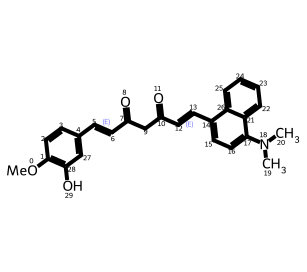 COc1ccc(/C=C/C(=O)CC(=O)/C=C/c2ccc(N(C)C)c3ccccc23)cc1O